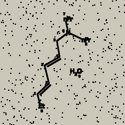 CCC=CC=CCN(CCC)CCC.O